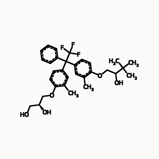 Cc1cc(C(c2ccccc2)(c2ccc(OC[C@@H](O)CO)c(C)c2)C(F)(F)F)ccc1OCC(O)C(C)(C)C